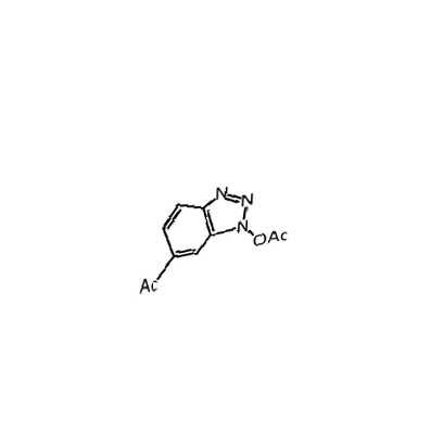 CC(=O)On1nnc2ccc(C(C)=O)cc21